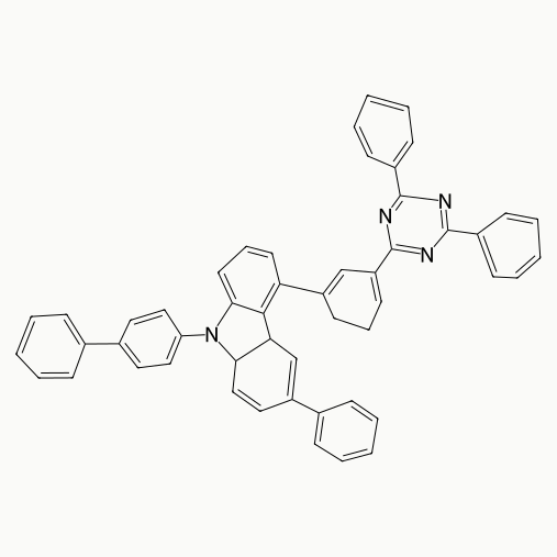 C1=CC2C(C=C1c1ccccc1)c1c(C3=CC(c4nc(-c5ccccc5)nc(-c5ccccc5)n4)=CCC3)cccc1N2c1ccc(-c2ccccc2)cc1